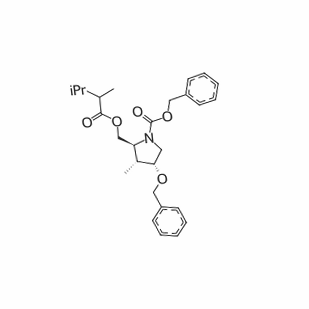 CC(C)C(C)C(=O)OC[C@@H]1[C@@H](C)[C@@H](OCc2ccccc2)CN1C(=O)OCc1ccccc1